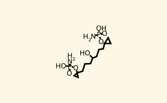 NP(=O)(O)OC1(CCCC(O)CCCC2(OP(N)(=O)O)CC2)CC1